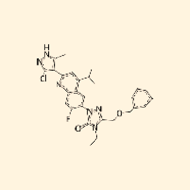 CCn1c(COCc2ccccc2)nn(-c2cc3c(C(C)C)cc(-c4c(Cl)n[nH]c4C)nc3cc2F)c1=O